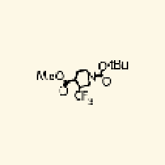 COC(=O)C1CCN(C(=O)OC(C)(C)C)CC1C(F)(F)F